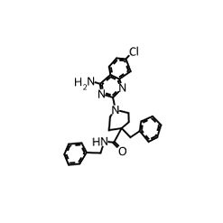 Nc1nc(N2CCC(Cc3ccccc3)(C(=O)NCc3ccccc3)CC2)nc2cc(Cl)ccc12